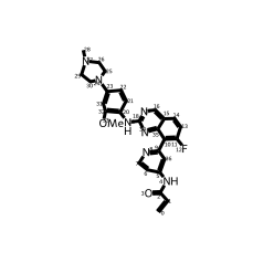 C=CC(=O)Nc1ccnc(-c2c(F)ccc3cnc(Nc4ccc(N5CCN(C)CC5)cc4OC)nc23)c1